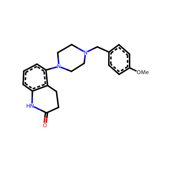 COc1ccc(CN2CCN(c3cccc4c3CCC(=O)N4)CC2)cc1